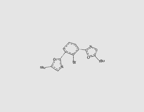 CC(C)(C)c1cnc(-c2cccc(-c3ncc(C(C)(C)C)o3)c2Br)o1